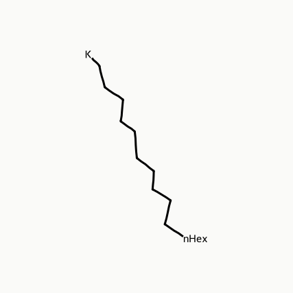 CCCCCCCCCCCCCCC[CH2][K]